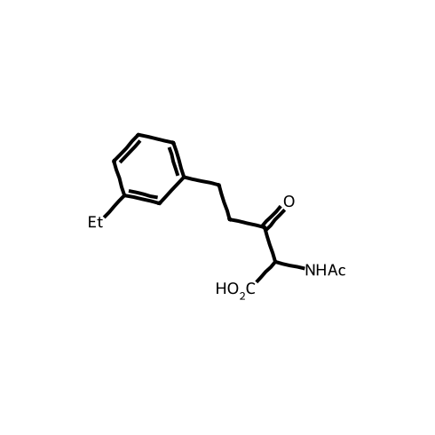 CCc1cccc(CCC(=O)C(NC(C)=O)C(=O)O)c1